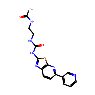 CC(C)(C)C(=O)NCCNC(=O)Nc1nc2ccc(-c3cccnc3)nc2s1